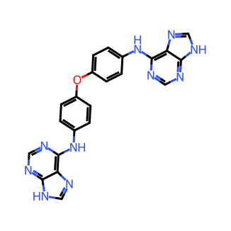 c1nc(Nc2ccc(Oc3ccc(Nc4ncnc5[nH]cnc45)cc3)cc2)c2nc[nH]c2n1